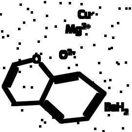 C1=COc2ccccc2C1.[BaH2].[Cu].[Mg+2].[O-2]